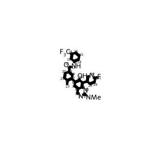 CNc1ncc2cc(-c3cc(C(=O)Nc4cccc(C(F)(F)F)c4)ccc3C)c(O)c(-c3ccc(F)nc3)c2n1